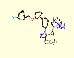 CN1C=C(C2CC2c2c(C(=O)O)cnn2-c2cccc(-c3cccc(OCc4ccc(F)cc4)c3)c2)NN1